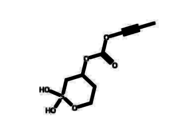 CC#COC(=O)OC1CCOS(O)(O)C1